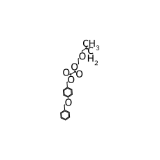 C=C(C)COCCOC(=O)C(=O)OCc1ccc(OCc2ccccc2)cc1